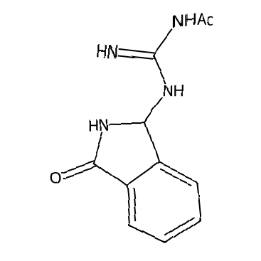 CC(=O)NC(=N)NC1NC(=O)c2ccccc21